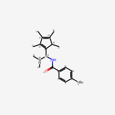 CCCCc1ccc(C(=O)[NH][Ti]([C]2=C(C)C(C)=C(C)C2C)[SiH](C)C)cc1